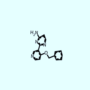 Nc1ccnc(-c2cnccc2OCc2ccccc2)n1